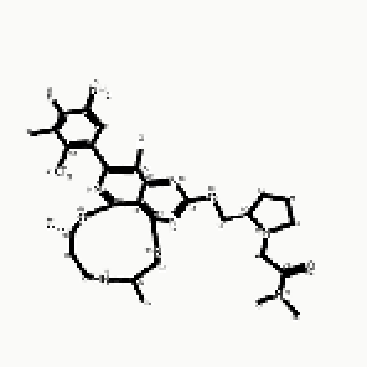 Cc1c(F)c(N)cc(-c2nc3c4c(nc(OC[C@H]5CCCN5CC(=O)N(C)C)nc4c2F)NCC(C)NCC[C@H](C)O3)c1C(F)(F)F